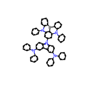 c1ccc(N(c2ccccc2)c2ccc3c(c2)c2cc(N(c4ccccc4)c4ccccc4)ccc2n3-c2cc3c4c(c2)N(c2ccccc2)c2ccccc2B4c2ccccc2N3c2ccccc2)cc1